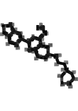 ON=c1cc(-c2cc3sccc3cn2)oc2ccc(OCCN3CCOCC3)cc12